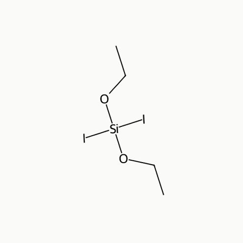 CCO[Si](I)(I)OCC